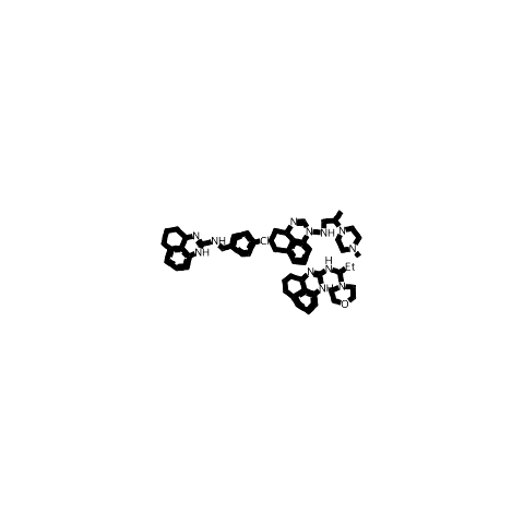 CC(CNN1C=NC2CCCc3cccc1c32)N1CCN(C)CC1.CCC(NC1=NC2CCCc3cccc(c32)N1)N1CCOCC1.Clc1ccc(CNC2=NC3CCCc4cccc(c43)N2)cc1